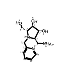 CC(=O)NC[C@@H]1[C@@H](O)[C@H](O)[C@@H](CO)N1Cc1ccccn1